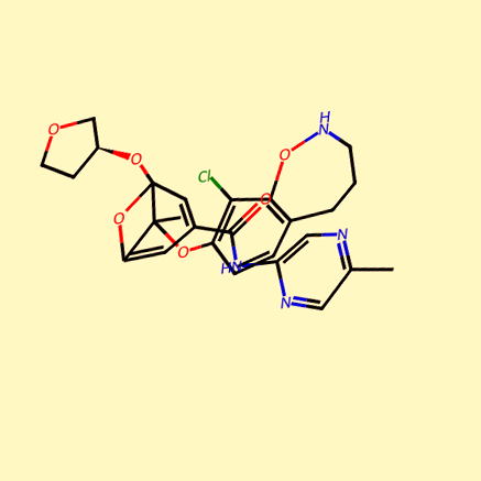 Cc1cnc(NC(=O)C2=CC3(O[C@H]4CCOC4)OC(=C2)C3(C)Oc2ccc3c(c2Cl)ONCCC3)cn1